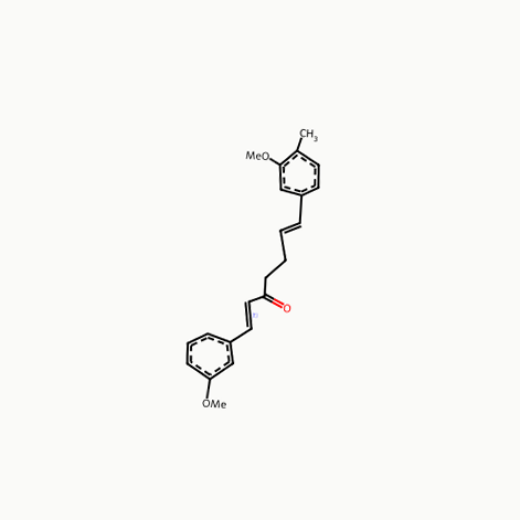 COc1cccc(/C=C/C(=O)CCC=Cc2ccc(C)c(OC)c2)c1